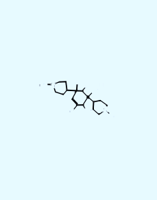 CCCN1CCC(C2(C)C=C(C(C)(C)C)C(CC)C(C)(C3CCN(CCC)CC3)C2C(=O)O)CC1